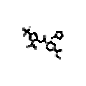 COC(=O)N1CCN(C(=O)Cc2ccc(C(F)(F)F)cc2[N+](=O)[O-])[C@H](CN2CCCC2)C1